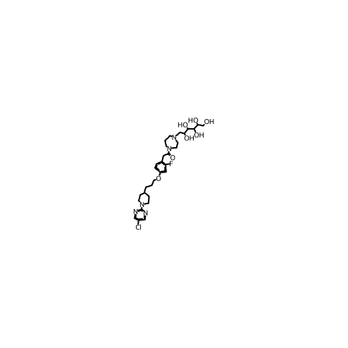 O=C(Cc1ccc(OCCCC2CCN(c3ncc(Cl)cn3)CC2)cc1F)N1CCCN(CC(O)C(O)C(O)C(O)CO)CC1